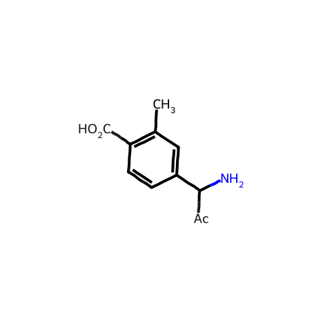 CC(=O)C(N)c1ccc(C(=O)O)c(C)c1